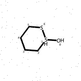 O[SH]1CCCCS1